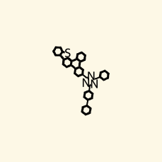 c1ccc(-c2ccc(-c3nc(-c4ccccc4)nc(-c4ccc5c(c4)c4ccccc4c4c5ccc5c6ccccc6sc54)n3)cc2)cc1